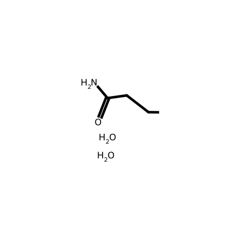 CCCC(N)=O.O.O